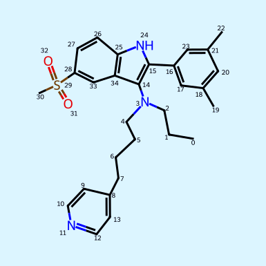 CCCN(CCCCc1ccncc1)c1c(-c2cc(C)cc(C)c2)[nH]c2ccc(S(C)(=O)=O)cc12